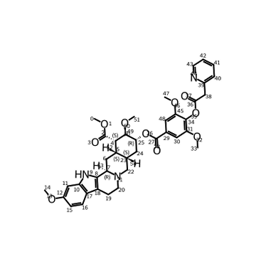 COC(=O)[C@H]1[C@H]2C[C@@H]3c4[nH]c5cc(OC)ccc5c4CCN3C[C@H]2C[C@@H](OC(=O)c2cc(OC)c(OC(=O)Cc3ccccn3)c(OC)c2)[C@@H]1OC